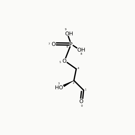 O=C[C@@H](O)COP(=O)(O)O